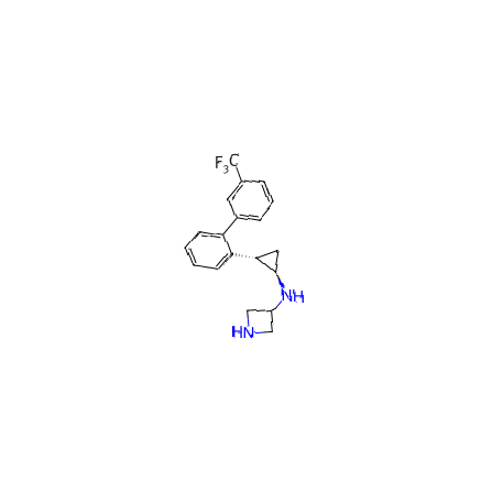 FC(F)(F)c1cccc(-c2ccccc2[C@@H]2C[C@H]2NC2CNC2)c1